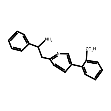 NC(Cc1ccc(-c2ccccc2C(=O)O)cn1)c1ccccc1